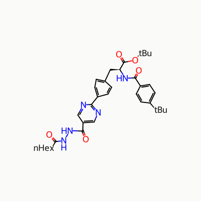 CCCCCCC(=O)NNC(=O)c1cnc(-c2ccc(C[C@H](NC(=O)c3ccc(C(C)(C)C)cc3)C(=O)OC(C)(C)C)cc2)nc1